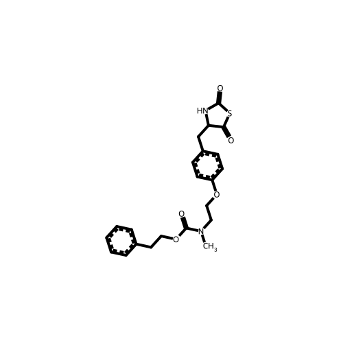 CN(CCOc1ccc(CC2NC(=O)SC2=O)cc1)C(=O)OCCc1ccccc1